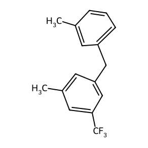 Cc1cccc(Cc2cc(C)cc(C(F)(F)F)c2)c1